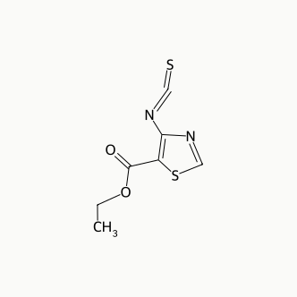 CCOC(=O)c1scnc1N=C=S